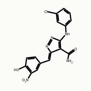 NC(=O)C1=C(Nc2cccc(Cl)c2)N=NC1=Cc1ccc(O)c([N+](=O)[O-])c1